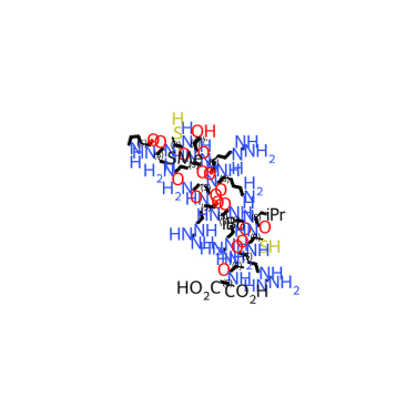 CC[C@H](C)[C@H](NC(=O)[C@H](CCCNC(=N)N)NC(=O)[C@H](CC(N)=O)NC(=O)[C@H](CCCCN)NC(=O)[C@H](CCCNC(=N)N)NC(=O)[C@H](CCC(N)=O)NC(=O)[C@@H](NC(=O)[C@H](CS)NC(=O)[C@H](CCSC)NC(=O)[C@@H]1CCCN1)[C@@H](C)O)C(=O)N[C@@H](CCCNC(=N)N)C(=O)N[C@@H](CC(C)C)C(=O)N[C@@H](CS)C(=O)N[C@@H](CCCNC(=N)N)C(=O)N[C@@H](C)C(=O)N[C@@H](CC(=O)O)C(=O)O